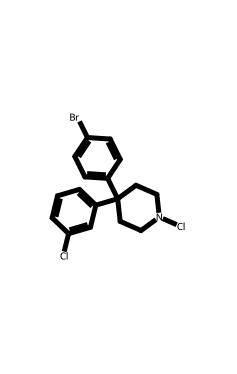 Clc1cccc(C2(c3ccc(Br)cc3)CCN(Cl)CC2)c1